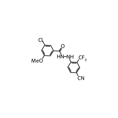 COc1cc(Cl)cc(C(=O)NNc2ccc(C#N)cc2C(F)(F)F)c1